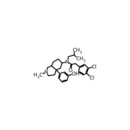 CC(C)CN(C(=O)Cc1ccc(Cl)c(Cl)c1)C1CCC2CN(C)CCC2(c2cccc(O)c2)C1